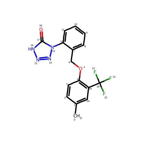 Cc1ccc(OCc2ccccc2-n2nn[nH]c2=O)c(C(F)(F)F)c1